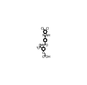 COC(=O)c1cc(OCC(=O)O)ccc1NC(=O)c1ccc(-c2nc3cc(Cl)c(Cl)cc3[nH]2)cc1